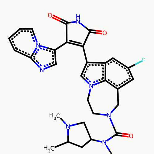 CCN(C(=O)N1CCn2cc(C3=C(c4cnc5ccccn45)C(=O)NC3=O)c3cc(F)cc(c32)C1)C1CC(C)N(C)C1